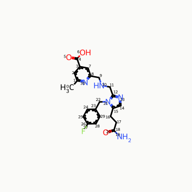 Cc1cc(C(=O)O)cc(CNCc2ncc(CCC(N)=O)n2Cc2ccc(F)cc2)n1